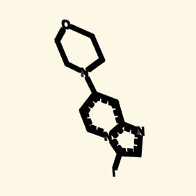 Ic1cnc2cc(N3CCOCC3)ccn12